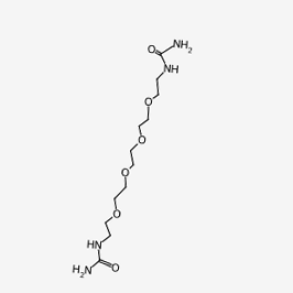 NC(=O)NCCOCCOCCOCCOCCNC(N)=O